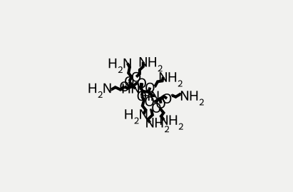 NCCCOCC(COCCCN)(NC(=O)C(OCCCN)C(OCCCN)C(=O)NC(COCCCN)(COCCCN)OCCCN)OCCCN